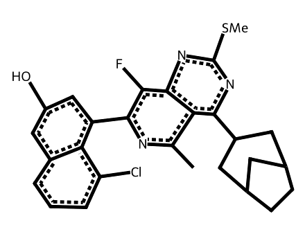 CSc1nc(C2CC3CCC(C3)C2)c2c(C)nc(-c3cc(O)cc4cccc(Cl)c34)c(F)c2n1